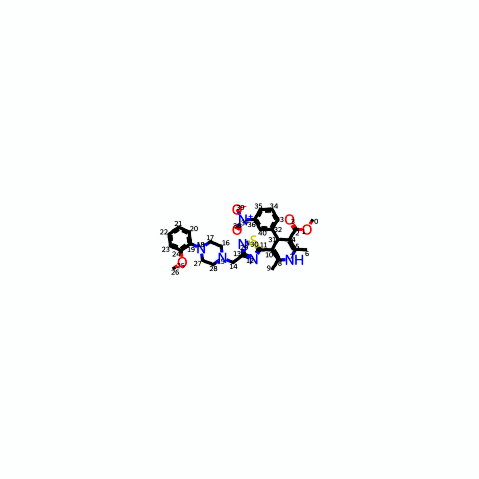 COC(=O)C1=C(C)NC(C)=C(c2nc(CN3CCN(c4ccccc4OC)CC3)ns2)C1c1cccc([N+](=O)[O-])c1